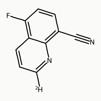 [2H]c1ccc2c(F)ccc(C#N)c2n1